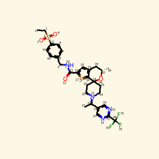 CCS(=O)(=O)c1ccc(CNC(=O)c2cc3c(s2)C2(CCN(C(C)c4cnc(C(F)(F)F)nc4)CC2)O[C@@H](C)C3)cc1